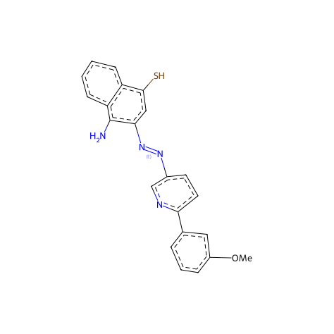 COc1cccc(-c2ccc(/N=N/c3cc(S)c4ccccc4c3N)cn2)c1